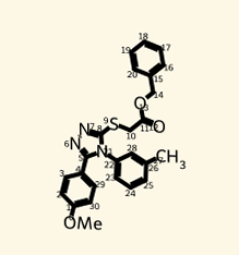 COc1ccc(-c2nnc(SCC(=O)OCc3ccccc3)n2-c2cccc(C)c2)cc1